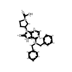 O=C(O)N1CCC(n2c(=O)[nH]c3c(N(Cc4ccccc4)Cc4ccccc4)ncnc32)C1